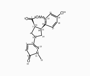 COC(=O)[C@@H]1CN(c2ccc(=O)n(C)n2)C[C@@H]1c1ccc(Cl)cn1